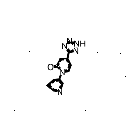 O=c1cc(-c2nn[nH]n2)ccn1-c1cccnc1